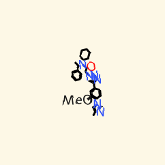 COc1cc(-c2cn(CC(=O)N(C3CCCCC3)C(C)c3ccccc3)nn2)ccc1-n1cnc(C)c1